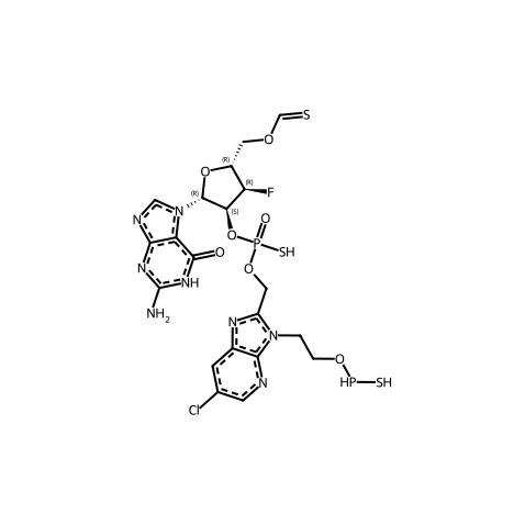 Nc1nc2ncn([C@@H]3O[C@H](COC=S)[C@@H](F)[C@H]3OP(=O)(S)OCc3nc4cc(Cl)cnc4n3CCOPS)c2c(=O)[nH]1